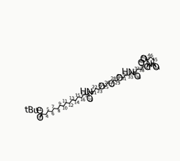 CC(C)(C)OC(=O)CCCCCCCCCCCCCCC(=O)NCCCOCCOCCOCCCNC(=O)CCC(=O)ON1C(=O)CCC1=O